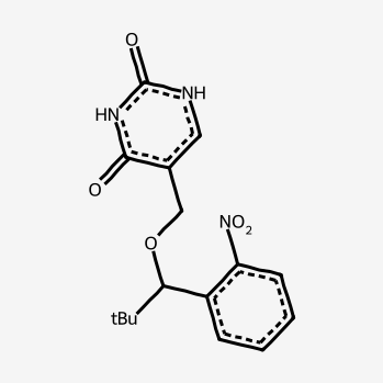 CC(C)(C)C(OCc1c[nH]c(=O)[nH]c1=O)c1ccccc1[N+](=O)[O-]